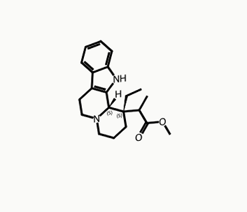 CC[C@@]1(C(C)C(=O)OC)CCCN2CCc3c([nH]c4ccccc34)[C@@H]21